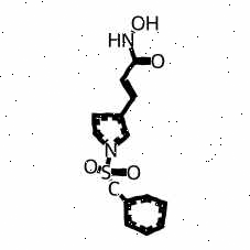 O=C(/C=C/c1ccn(S(=O)(=O)Cc2ccccc2)c1)NO